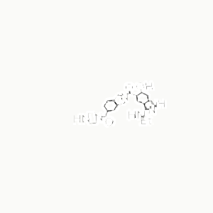 CCNc1n[nH]c2cc(O)c(C(=O)N3Cc4ccc(C(=O)N5CCNCC5)cc4C3)cc12